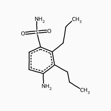 CCCc1c(N)ccc(S(N)(=O)=O)c1CCC